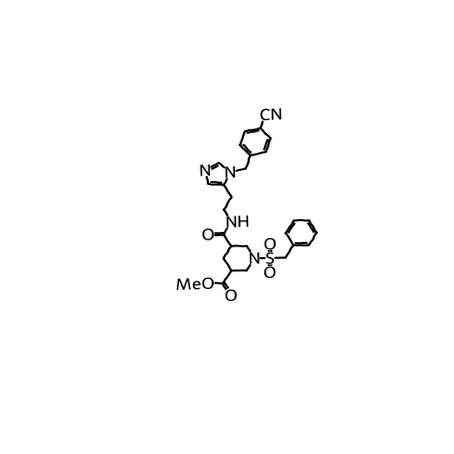 COC(=O)C1CC(C(=O)NCCc2cncn2Cc2ccc(C#N)cc2)CN(S(=O)(=O)Cc2ccccc2)C1